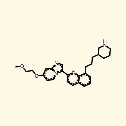 COCCOc1ccn2c(-c3ccc4cccc(CCCC5CCCNC5)c4n3)cnc2c1